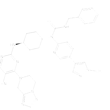 Cn1cc(-c2ccc(N(C(=O)NCc3ccccc3)[C@H]3CC[C@H](Nc4ncc(C#N)c(N5CCn6ncnc6C5)n4)CC3)nc2)cn1